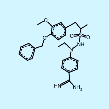 CCN(NS(=O)(=O)C(C)Cc1ccc(OCc2ccccc2)c(OC)c1)c1ccc(C(=N)N)cc1